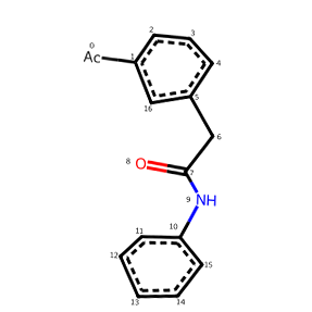 CC(=O)c1cccc(CC(=O)Nc2ccccc2)c1